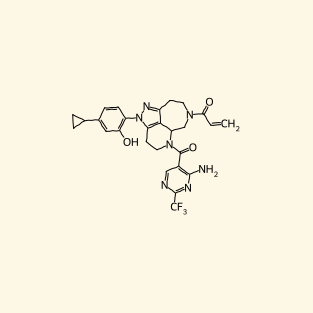 C=CC(=O)N1CCc2nn(-c3ccc(C4CC4)cc3O)c3c2C(C1)N(C(=O)c1cnc(C(F)(F)F)nc1N)CC3